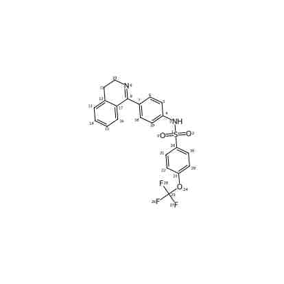 O=S(=O)(Nc1ccc(C2=NCCc3ccccc32)cc1)c1ccc(OC(F)(F)F)cc1